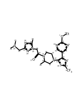 CCOc1ncc(-c2nc(C(F)(F)F)sc2N2CCN(C(=O)Cn3nc(CN(C)C)nc3C)C(C)C2)cn1